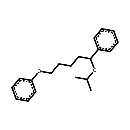 CC(C)OC(CCCCOc1cc[c]cc1)c1ccccc1